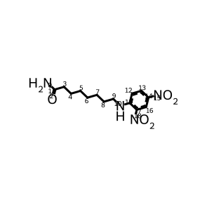 NC(=O)CCCCCCCNc1ccc([N+](=O)[O-])cc1[N+](=O)[O-]